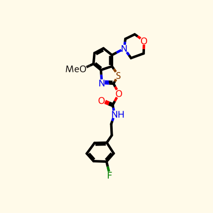 COc1ccc(N2CCOCC2)c2sc(OC(=O)NCCc3cccc(F)c3)nc12